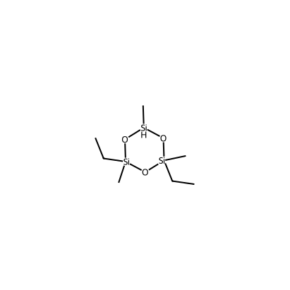 CC[Si]1(C)O[SiH](C)O[Si](C)(CC)O1